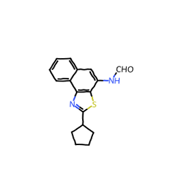 O=CNc1cc2ccccc2c2nc(C3CCCC3)sc12